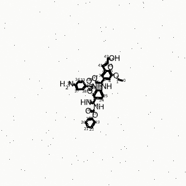 CCOc1cc([C@@H](Nc2ccc(C(=N)NC(=O)Oc3ccccc3)cc2)C(=O)NS(=O)(=O)c2ccc(N)cc2)cc2cc(CO)oc12